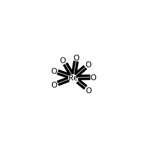 [O]=[Re](=[O])(=[O])(=[O])(=[O])(=[O])=[O]